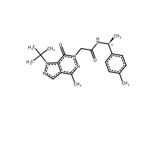 Cc1ccc([C@H](C)NC(=O)Cn2nc(C)c3cnn(C(C)(C)C)c3c2=O)cc1